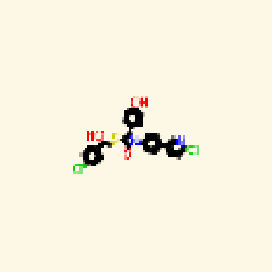 O=C1[C@H](SC[C@H](O)c2ccc(Cl)cc2)[C@@H](c2ccc(O)cc2)N1c1ccc(-c2ccc(Cl)nc2)cc1